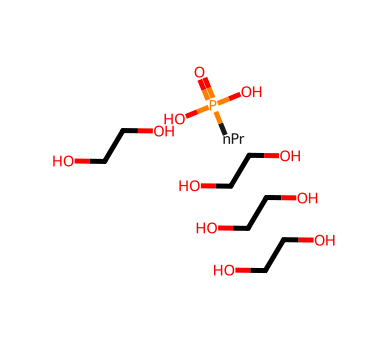 CCCP(=O)(O)O.OCCO.OCCO.OCCO.OCCO